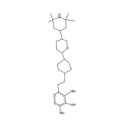 CC1(C)CC(C2CCC(C3CCC(CCc4ccc(C(C)(C)C)c(O)c4C(C)(C)C)CC3)OC2)CC(C)(C)N1